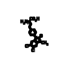 Cn1c(=O)n(-c2ccc(CC[C@H](N)C(=O)O)cc2)c2cc(Cl)c(Cl)cc21